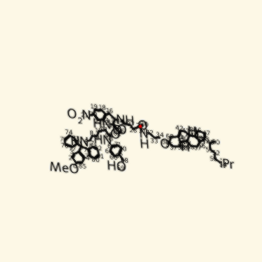 COc1ccc(C(NCCCCC(NC(=O)C(Cc2ccc([N+](=O)[O-])cc2)NC(=O)CCC(=O)NCCCO[C@H]2CC[C@@]3(C)C(=CC[C@H]4[C@@H]5CC[C@H](C(C)CCCC(C)C)[C@@]5(C)CC[C@@H]43)C2)C(=O)Nc2ccc(CO)cc2)(c2ccccc2)c2ccccc2)cc1